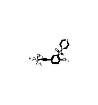 Cc1ccc(C#C[Si](C)(C)C)cc1S(=O)(=O)N1CCOCC1